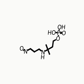 CC(C)(CCOP(=O)(O)O)NCCCN=O